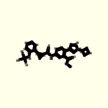 COC(=O)c1cc(NC(=O)C2CC2c2ccccc2OC(F)(F)F)ccc1-c1cnn(C2CCC2)c1